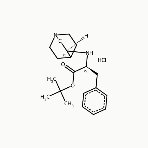 CC(C)(C)OC(=O)[C@H](Cc1ccccc1)N[C@@H]1CN2CCC1CC2.Cl